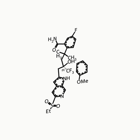 CCS(=O)(=O)c1cc2cc(C[C@](O)(CC(C)(C)c3ccc(F)cc3C(N)=O)C(F)(F)F)[nH]c2cn1.COc1ccccc1